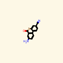 N#Cc1ccc2c(c1)sc(=O)c1cc(N)ccc12